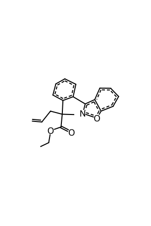 C=CCC(C)(C(=O)OCC)c1ccccc1-c1noc2ccccc12